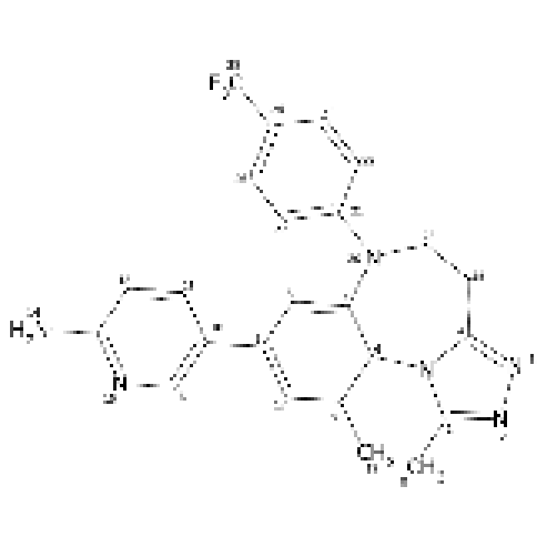 Cc1nnc2n1C1C(=CC(c3ccc(N)nc3)=CC1C)N(c1ccc(C(F)(F)F)cc1)CC2